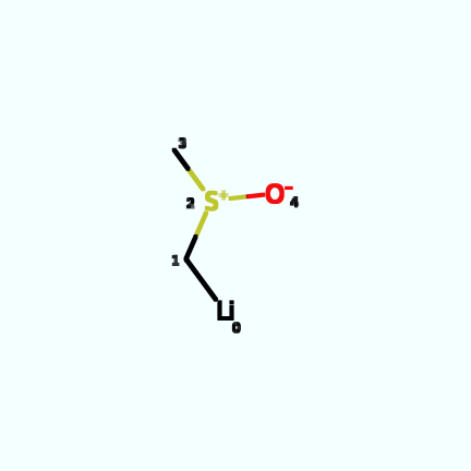 [Li][CH2][S+](C)[O-]